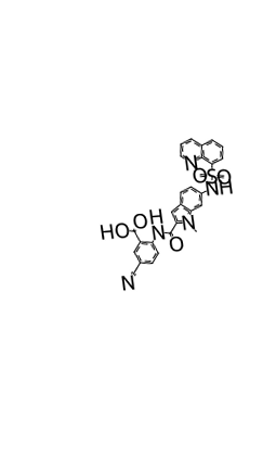 Cn1c(C(=O)Nc2ccc(C#N)cc2C(=O)O)cc2ccc(NS(=O)(=O)c3cccc4cccnc34)cc21